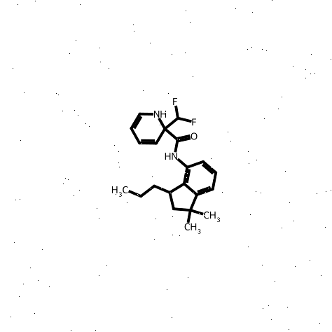 CCCC1CC(C)(C)c2cccc(NC(=O)C3(C(F)F)C=CC=CN3)c21